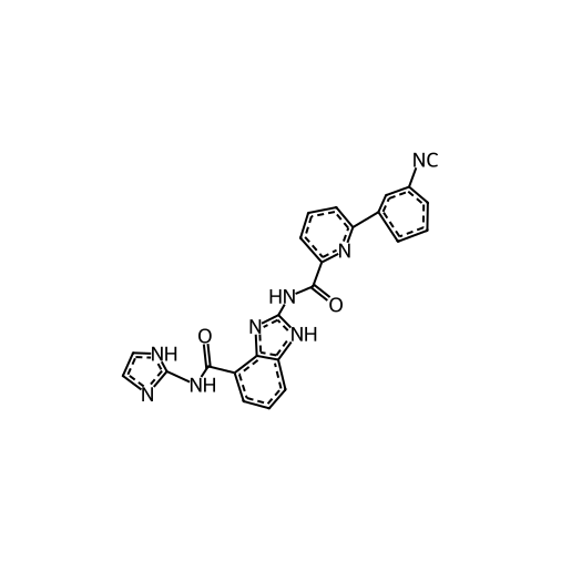 [C-]#[N+]c1cccc(-c2cccc(C(=O)Nc3nc4c(C(=O)Nc5ncc[nH]5)cccc4[nH]3)n2)c1